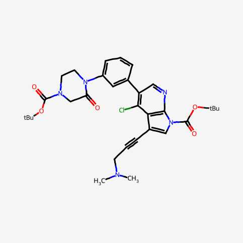 CN(C)CC#Cc1cn(C(=O)OC(C)(C)C)c2ncc(-c3cccc(N4CCN(C(=O)OC(C)(C)C)CC4=O)c3)c(Cl)c12